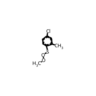 COOSc1ccc(Cl)cc1C